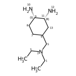 CCN(CC)CC1CC[C@H](N)[C@H](N)C1